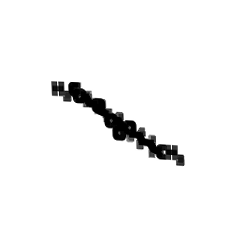 CCCCCCOC(=O)COCCOCCOC